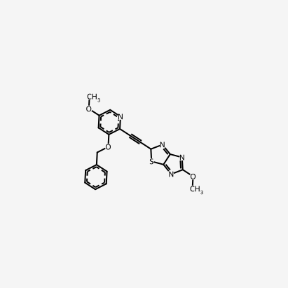 COC1=NC2=NC(C#Cc3ncc(OC)cc3OCc3ccccc3)SC2=N1